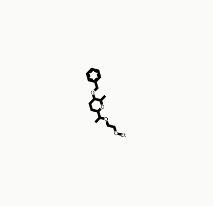 CCOCCOC(C)C1CCC(OCc2ccccc2)C(C)O1